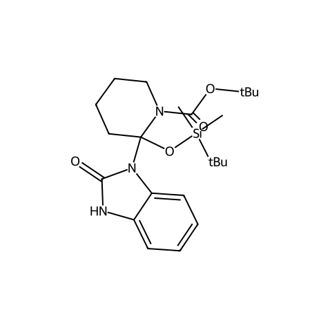 CC(C)(C)OC(=O)N1CCCCC1(O[Si](C)(C)C(C)(C)C)n1c(=O)[nH]c2ccccc21